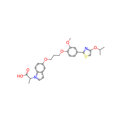 COc1cc(-c2nc(OC(C)C)cs2)ccc1OCCCOc1ccc2c(ccn2C(C)C(=O)O)c1